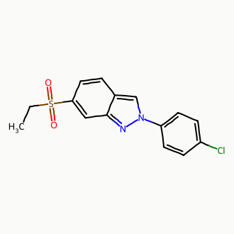 CCS(=O)(=O)c1ccc2cn(-c3ccc(Cl)cc3)nc2c1